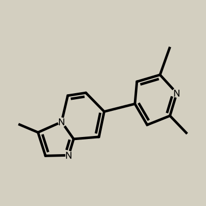 Cc1cc(-c2ccn3c(C)cnc3c2)cc(C)n1